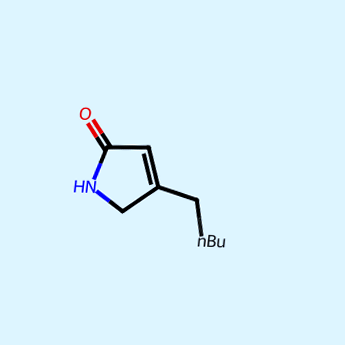 CCCCCC1=CC(=O)NC1